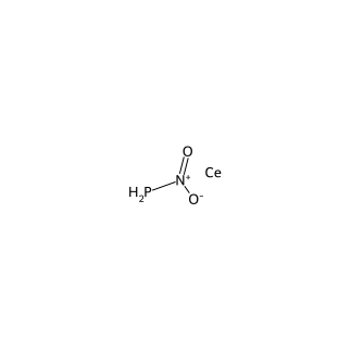 O=[N+]([O-])P.[Ce]